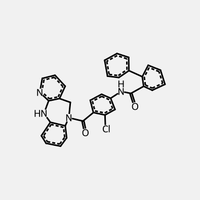 O=C(Nc1ccc(C(=O)N2Cc3cccnc3Nc3ccccc32)c(Cl)c1)c1ccccc1-c1ccccc1